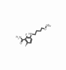 CCCCOCCCCNc1ccc(F)c(C(N)=O)c1F